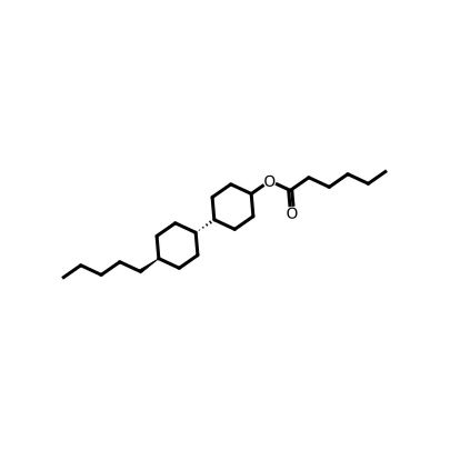 CCCCCC(=O)OC1CCC([C@H]2CC[C@H](CCCCC)CC2)CC1